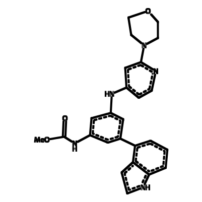 COC(=O)Nc1cc(Nc2ccnc(N3CCOCC3)c2)cc(-c2cccc3[nH]ccc23)c1